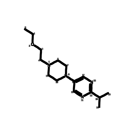 CCOCCN1CCN(c2cnc(C(C)C)nc2)CC1